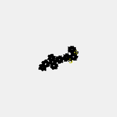 c1ccc2cc(-c3c4ccccc4c(-c4ccc(-c5ccc6c(c5)sc5ccc7sc8ccccc8c7c56)cc4)c4ccccc34)ccc2c1